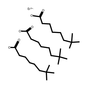 CC(C)(C)CCCCCC(=O)[O-].CC(C)(C)CCCCCC(=O)[O-].CC(C)(C)CCCCCC(=O)[O-].[Er+3]